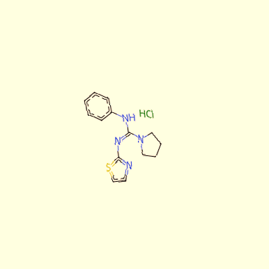 Cl.c1ccc(NC(=Nc2nccs2)N2CCCC2)cc1